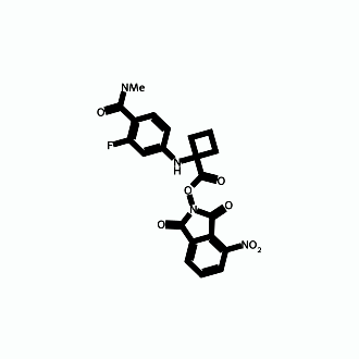 CNC(=O)c1ccc(NC2(C(=O)ON3C(=O)c4cccc([N+](=O)[O-])c4C3=O)CCC2)cc1F